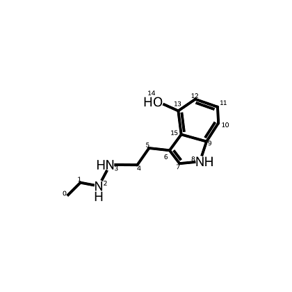 CCNNCCc1c[nH]c2cccc(O)c12